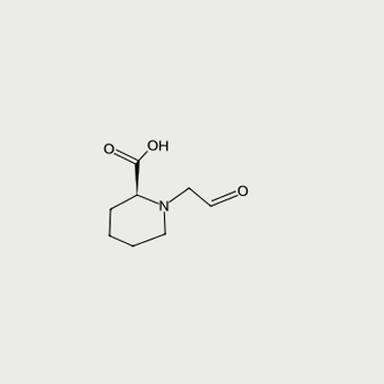 O=CCN1CCCC[C@H]1C(=O)O